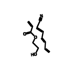 C=CC(=O)OCCO.C=CC=CC=CC#N